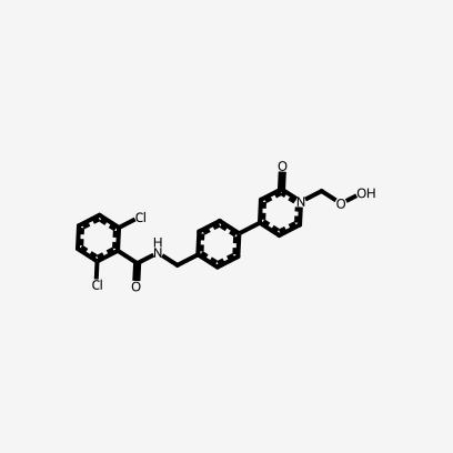 O=C(NCc1ccc(-c2ccn(COO)c(=O)c2)cc1)c1c(Cl)cccc1Cl